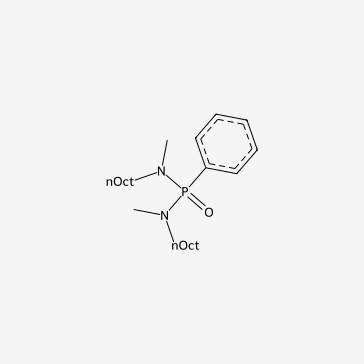 CCCCCCCCN(C)P(=O)(c1ccccc1)N(C)CCCCCCCC